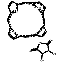 C1=Cc2cc3ccc(cc4nc(cc5ccc(cc1n2)[nH]5)C=C4)[nH]3.O=[C]1[Pt][C](=O)C(O)C1O